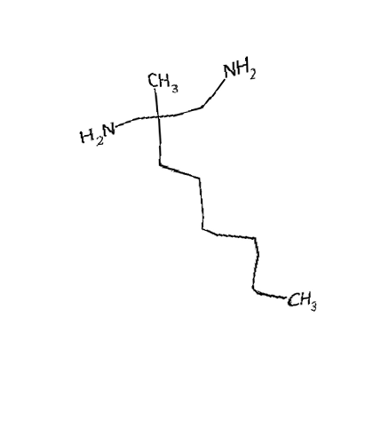 CCCCCCC(C)(N)CN